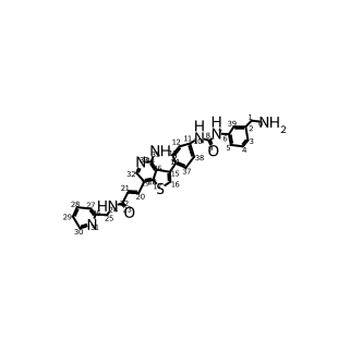 NCc1cccc(NC(=O)Nc2ccc(-c3csc4c(C=CC(=O)NCc5ccccn5)cnc(N)c34)cc2)c1